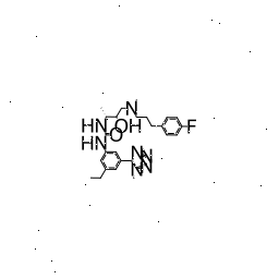 CCc1cc(NC(=O)N[C@H](C)[C@@H](O)CN(C)CCCc2ccc(F)cc2)cc(-c2nnnn2C)c1